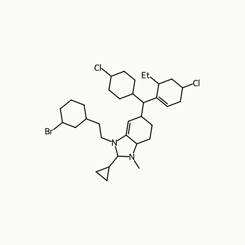 CCC1CC(Cl)CC=C1C(C1C=C2C(CC1)N(C)C(C1CC1)N2CCC1CCCC(Br)C1)C1CCC(Cl)CC1